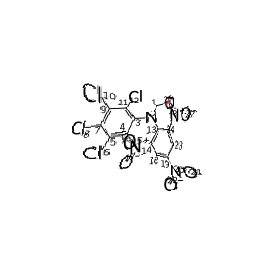 CCN(c1cc(Cl)c(Cl)c(Cl)c1Cl)c1c([N+](=O)[O-])cc([N+](=O)[O-])cc1[N+](=O)[O-]